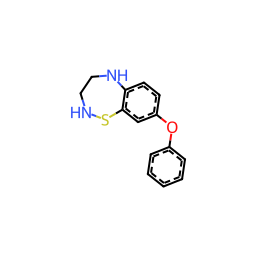 c1ccc(Oc2ccc3c(c2)SNCCN3)cc1